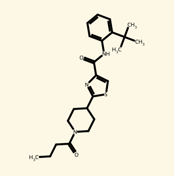 CCCC(=O)N1CCC(c2nc(C(=O)Nc3ccccc3C(C)(C)C)cs2)CC1